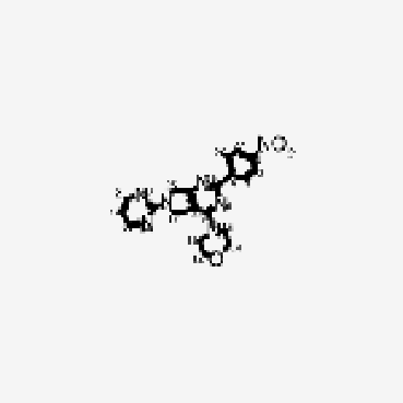 O=[N+]([O-])c1ccc(-c2nc3c(c(N4CCOCC4)n2)CN(c2ncccn2)C3)cc1